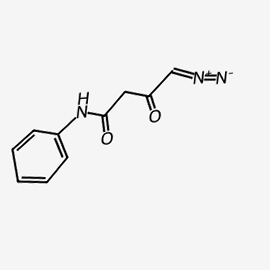 [N-]=[N+]=CC(=O)CC(=O)Nc1ccccc1